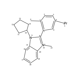 Cc1ccc(C(C)C)cc1-c1n(C2CCCC2)c2ccccc2[n+]1C